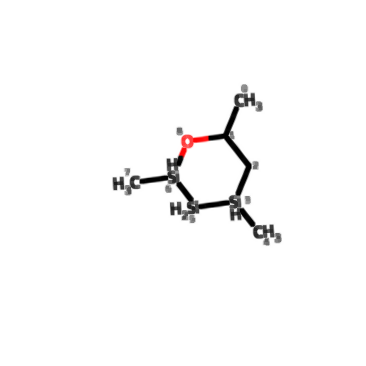 CC1C[SiH](C)[SiH2][SiH](C)O1